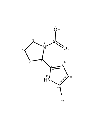 O=C(O)N1CCCC1c1ncc(I)[nH]1